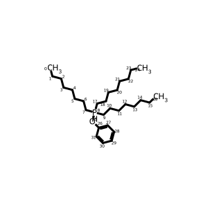 CCCCCCCC[PH](CCCCCCCC)(CCCCCCCC)Oc1ccccc1